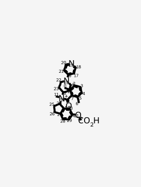 Cc1cccc(C)c1C(=O)[N+](C)(C1CCN(c2ccncc2)CC1)C1CCc2ccc(OC(=O)O)cc21